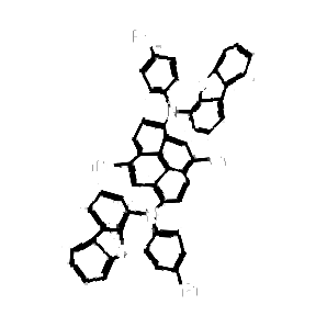 CC(C)c1ccc(N(c2ccc3c(C(C)C)cc4c(N(c5ccc(C(C)C)cc5)c5cccc6c5sc5ccccc56)ccc5c(C(C)C)cc2c3c54)c2cccc3c2sc2ccccc23)cc1